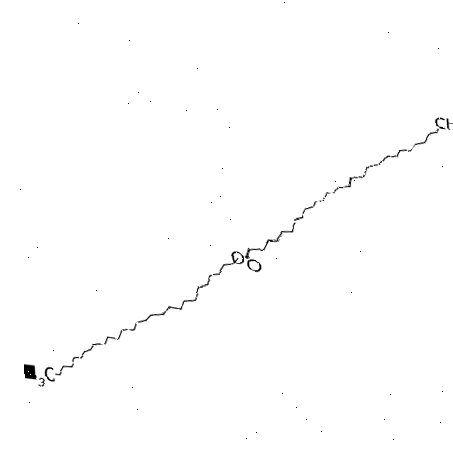 CCCCCCCCCCCCCCCCCCCCCCCCCCCCCC(=O)OCCCCCCCCCCCCCCCCCCCCCCCCCCCC